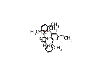 CCc1cc(C(C)C)c(-n2c(-c3ccccc3)nnc2-c2cc(C)ccc2C)c(C(C)C)c1